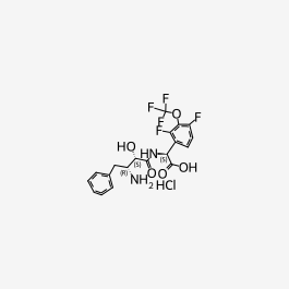 Cl.N[C@H](Cc1ccccc1)[C@H](O)C(=O)N[C@H](C(=O)O)c1ccc(F)c(OC(F)(F)F)c1F